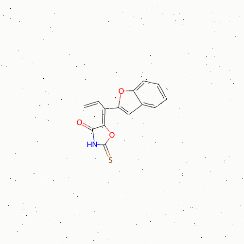 C=CC(=C1OC(=S)NC1=O)c1cc2ccccc2o1